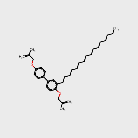 C=C(C)COc1ccc(-c2ccc(OCC(=C)C)c(CCCCCCCCCCCCCCCC)c2)cc1